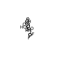 O=C(NCc1ccc(F)cc1F)c1cn2c(c(O)c1=O)C(=O)N1CC3CCCN3[C@@H]1C2